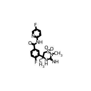 CN1C(=N)N[C@](C)(c2cc(C(=O)Nc3ccc(F)cn3)ccc2F)CS1(=O)=O